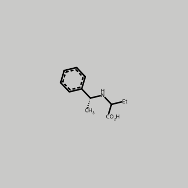 CCC(N[C@H](C)c1ccccc1)C(=O)O